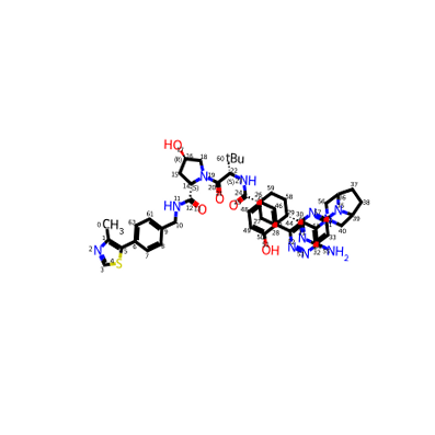 Cc1ncsc1-c1ccc(CNC(=O)[C@@H]2C[C@@H](O)CN2C(=O)[C@@H](NC(=O)[C@H]2CC[C@@H](c3nccc(N4C5CCC4CN(c4cc(-c6ccccc6O)nnc4N)C5)n3)CC2)C(C)(C)C)cc1